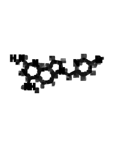 Nc1nc(N)c2ccc3c(ccn3Cc3ccc(Br)cn3)c2n1